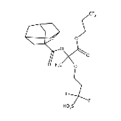 O=C(OC(OCCC(F)(F)S(=O)(=O)O)(C(=O)OCCC(F)(F)F)C(F)(F)F)C12CC3CC(CC(C3)C1)C2